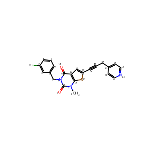 Cn1c(=O)n(Cc2cccc(F)c2)c(=O)c2cc(C#CCc3ccncc3)sc21